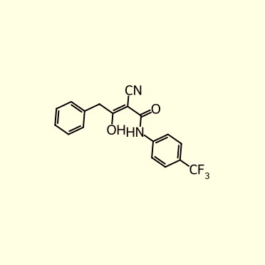 N#CC(C(=O)Nc1ccc(C(F)(F)F)cc1)=C(O)Cc1ccccc1